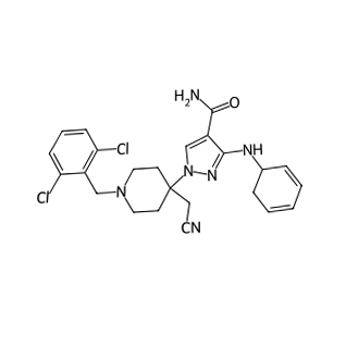 N#CCC1(n2cc(C(N)=O)c(NC3C=CC=CC3)n2)CCN(Cc2c(Cl)cccc2Cl)CC1